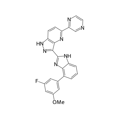 COc1cc(F)cc(-c2cccc3[nH]c(-c4n[nH]c5ccc(-c6cnccn6)nc45)nc23)c1